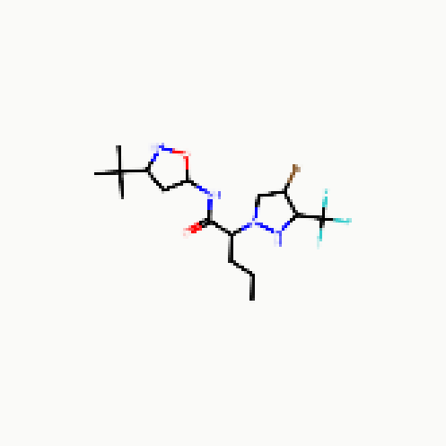 CCCC(C(=O)NC1CC(C(C)(C)C)NO1)N1CC(Br)C(C(F)(F)F)N1